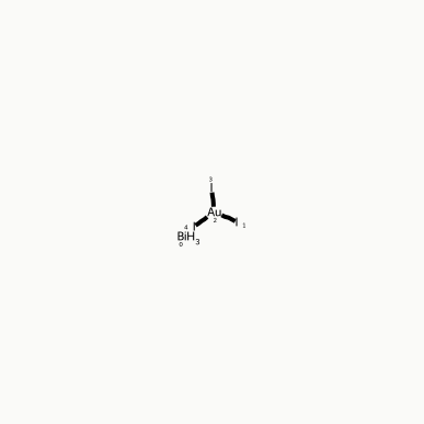 [BiH3].[I][Au]([I])[I]